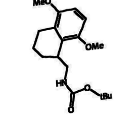 COc1ccc(OC)c2c1CCCC2CNC(=O)OC(C)(C)C